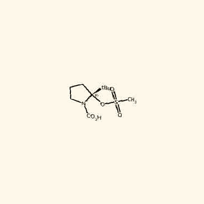 CC(C)(C)[C@]1(OS(C)(=O)=O)CCCN1C(=O)O